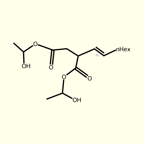 CCCCCC/C=C/C(CC(=O)OC(C)O)C(=O)OC(C)O